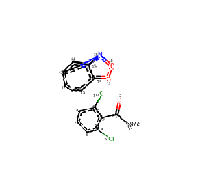 CNC(=O)c1c(Cl)cccc1Cl.c1cc2cc3c1oon2-3